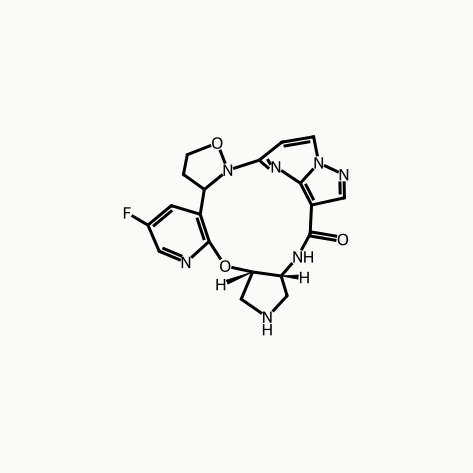 O=C1N[C@@H]2CNC[C@@H]2Oc2ncc(F)cc2C2CCON2c2ccn3ncc1c3n2